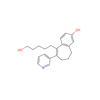 OCCCCCC1=C(c2cccnc2)CCCc2cc(O)ccc21